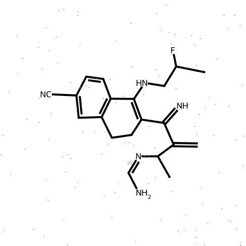 C=C(C(=N)C1=C(NCC(C)F)c2ccc(C#N)cc2CC1)C(C)/N=C\N